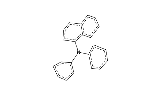 [c]1ccc2c(N(c3ccccc3)c3ccccc3)cccc2c1